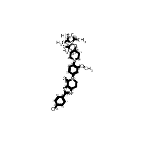 COc1cc(N2CCc3nc(-c4ccc(Cl)cc4)sc3C2=O)ccc1N1CCC(O[Si](C(C)C)(C(C)C)C(C)C)CC1